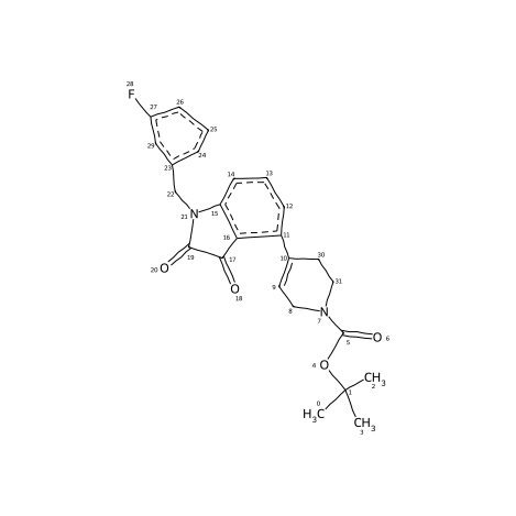 CC(C)(C)OC(=O)N1CC=C(c2cccc3c2C(=O)C(=O)N3Cc2cccc(F)c2)CC1